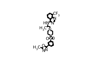 Cc1nnc(-c2cccc(S(=O)(=O)N3CCN(CC(C)Nc4ncnc5c(C(F)(F)F)cccc45)CC3)c2)o1